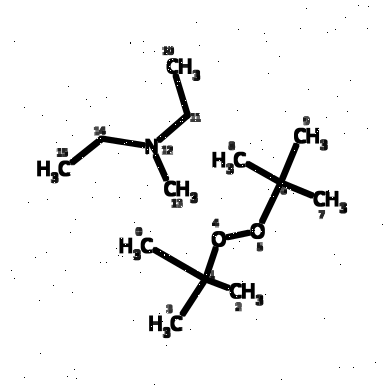 CC(C)(C)OOC(C)(C)C.CCN(C)CC